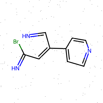 N=C/C(=C\C(=N)Br)c1ccncc1